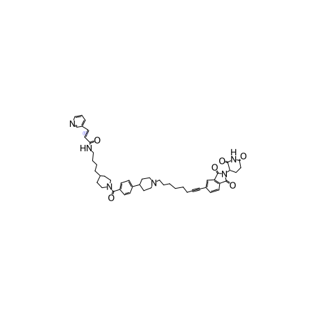 O=C(/C=C/c1cccnc1)NCCCCC1CCN(C(=O)c2ccc(C3CCN(CCCCCCC#Cc4ccc5c(c4)C(=O)N(C4CCC(=O)NC4=O)C5=O)CC3)cc2)CC1